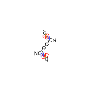 Cc1ccc(S(=O)(=O)O/N=C(C#N)\C=C\c2ccc(-c3ccc(/C=C/C(C#N)=N\OS(=O)(=O)c4ccc(C)cc4)cc3)cc2)cc1